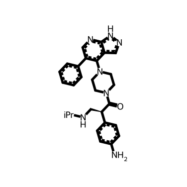 CC(C)NC[C@@H](C(=O)N1CCN(c2c(-c3ccccc3)cnc3[nH]ncc23)CC1)c1ccc(N)cc1